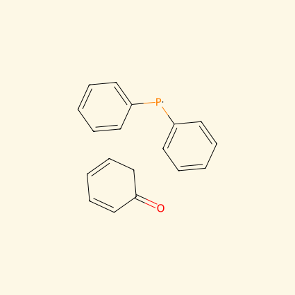 O=C1C=CC=CC1.c1ccc([P]c2ccccc2)cc1